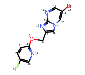 Fc1ccc(OCc2cn3cc(Br)cnc3n2)nc1